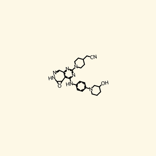 N#CCC1CCN(c2nc3c(c(Nc4ccc(N5CCCC(O)C5)cc4)n2)C2OC2NN=C3)CC1